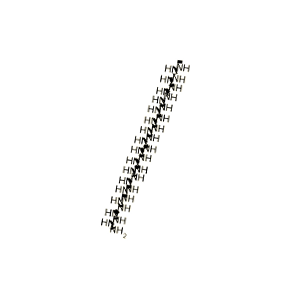 CNNNNNNNNNNNNNNNNNNNNNNNNNNNNNNNNN